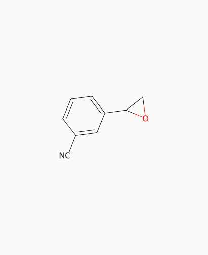 N#Cc1cccc(C2CO2)c1